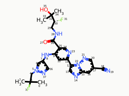 CC(C)(F)Cn1cc(Nc2cc(-c3cnc4cc(C#N)cnn34)ncc2C(=O)NC[C@@H](F)C(C)(C)O)cn1